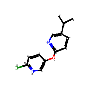 CC(C)c1ccc(Oc2ccc(Cl)nc2)nc1